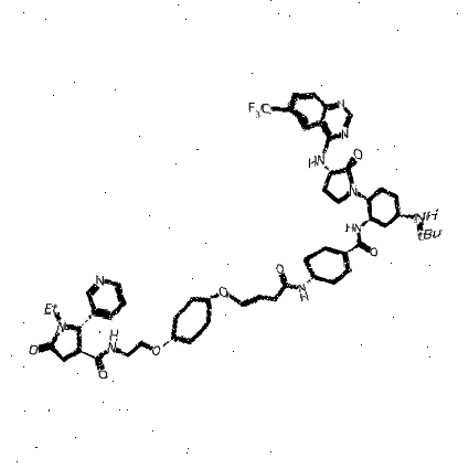 CCN1C(=O)C[C@H](C(=O)NCCO[C@H]2CC[C@H](OCCCC(=O)N[C@H]3CC[C@H](C(=O)N[C@@H]4C[C@H](NC(C)(C)C)CC[C@@H]4N4CC[C@H](Nc5ncnc6ccc(C(F)(F)F)cc56)C4=O)CC3)CC2)[C@H]1c1cccnc1